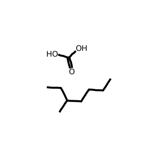 CCCCC(C)CC.O=C(O)O